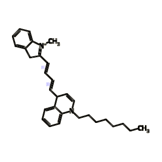 CCCCCCCCN1C=CC(/C=C/C=C/C2=[N+](C)c3ccccc3C2)c2ccccc21